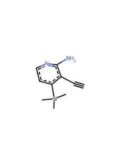 C#Cc1c([Si](C)(C)C)ccnc1N